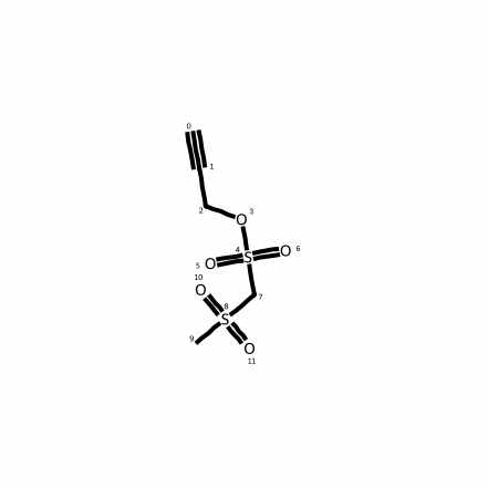 C#CCOS(=O)(=O)CS(C)(=O)=O